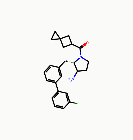 NC1CCN(C(=O)C2CC3(CC3)C2)[C@H]1Cc1cccc(-c2cccc(F)c2)c1